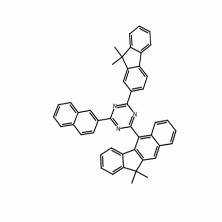 CC1(C)c2ccccc2-c2ccc(-c3nc(-c4ccc5ccccc5c4)nc(-c4c5c(cc6ccccc46)C(C)(C)c4ccccc4-5)n3)cc21